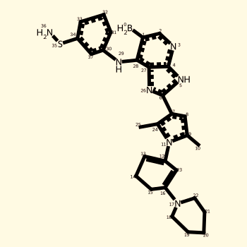 Bc1cnc2[nH]c(-c3cc(C)n(C4=CCCC(N5CCCCC5)=C4)c3C)nc2c1Nc1cccc(SN)c1